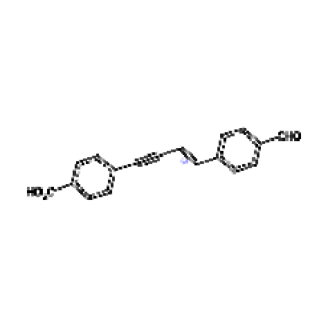 O=Cc1ccc(/C=C/C#Cc2ccc(C(=O)O)cc2)cc1